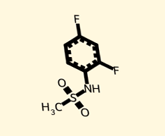 CS(=O)(=O)Nc1ccc(F)cc1F